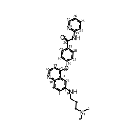 CN(C)CCCNc1ccc2nccc(Oc3ccc(C(=O)Nc4ccccn4)cc3)c2c1